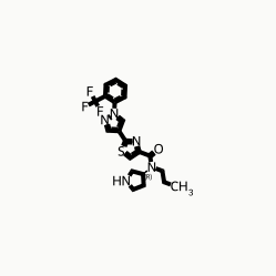 CCCN(C(=O)c1csc(-c2cnn(-c3ccccc3C(F)(F)F)c2)n1)[C@@H]1CCNC1